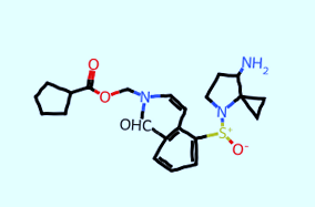 CN(/C=C\c1c(C=O)cccc1[S+]([O-])N1CCC(N)C12CC2)COC(=O)C1CCCC1